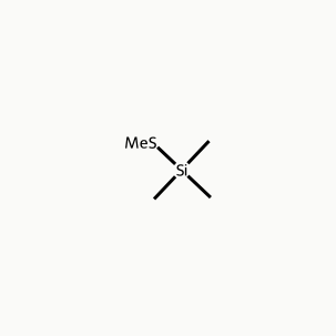 CS[Si](C)(C)C